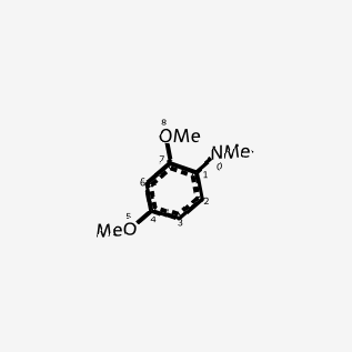 C[N]c1ccc(OC)cc1OC